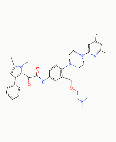 Cc1cc(C)nc(N2CCN(c3ccc(NC(=O)C(=O)c4c(-c5ccccc5)cc(C)n4C)cc3COCCN(C)C)CC2)c1